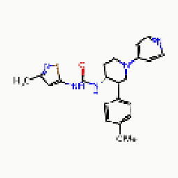 COc1ccc([C@@H]2CN(c3ccncc3)CC[C@H]2NC(=O)Nc2cc(C)ns2)cc1